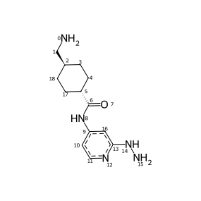 NC[C@H]1CC[C@H](C(=O)Nc2ccnc(NN)c2)CC1